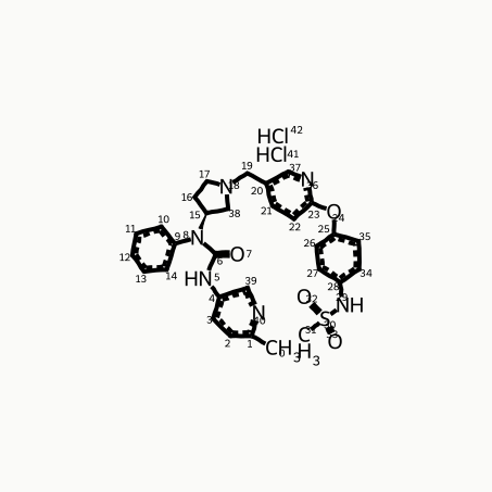 Cc1ccc(NC(=O)N(c2ccccc2)[C@H]2CCN(Cc3ccc(Oc4ccc(NS(C)(=O)=O)cc4)nc3)C2)cn1.Cl.Cl